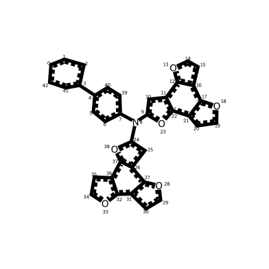 c1ccc(-c2ccc(N(c3cc4c5occc5c5occc5c4o3)c3cc4c5occc5c5occc5c4o3)cc2)cc1